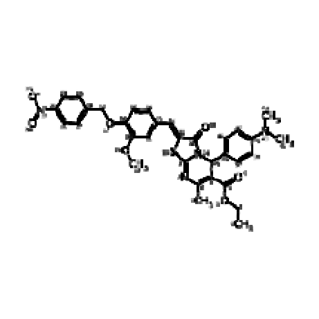 CCOC(=O)C1=C(C)N=c2s/c(=C\c3ccc(OCc4ccc([N+](=O)[O-])cc4)c(OC)c3)c(=O)n2C1c1ccc(N(C)C)cc1